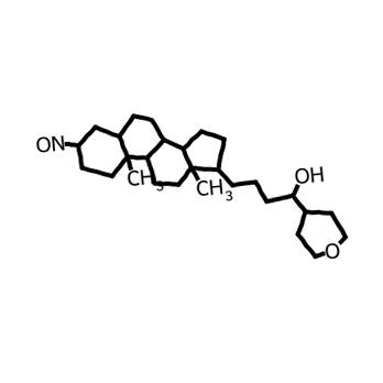 CC12CCC3C(CCC4CC(N=O)CCC43C)C1CCC2CCCC(O)C1CCOCC1